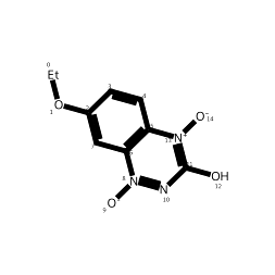 CCOc1ccc2c(c1)[n+]([O-])nc(O)[n+]2[O-]